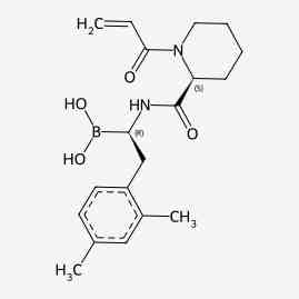 C=CC(=O)N1CCCC[C@H]1C(=O)N[C@@H](Cc1ccc(C)cc1C)B(O)O